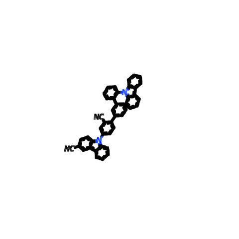 N#Cc1ccc2c(c1)c1ccccc1n2-c1ccc(-c2cccc(-c3ccccc3-n3c4ccccc4c4ccccc43)c2)c(C#N)c1